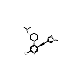 CN(C)C[C@@H]1CCCN(c2cc(Cl)ncc2C#Cc2cnn(C)c2)C1